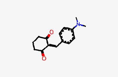 CN(C)c1ccc(C=C2C(=O)CCCC2=O)cc1